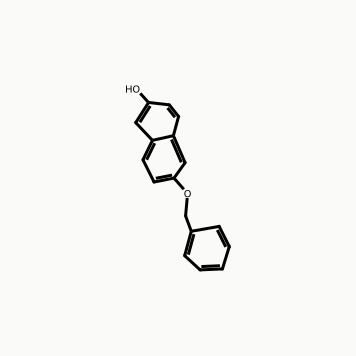 Oc1ccc2cc(OCc3ccccc3)ccc2c1